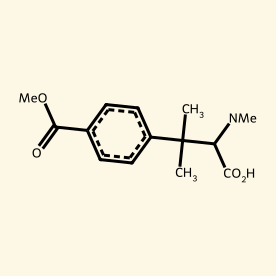 CNC(C(=O)O)C(C)(C)c1ccc(C(=O)OC)cc1